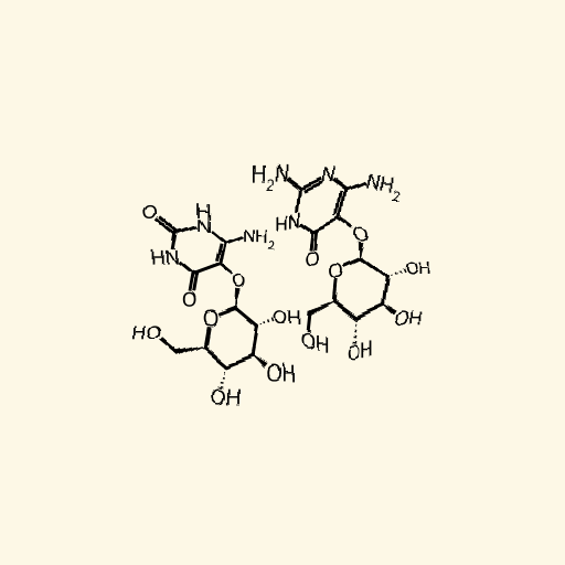 Nc1[nH]c(=O)[nH]c(=O)c1O[C@@H]1O[C@H](CO)[C@@H](O)[C@H](O)[C@H]1O.Nc1nc(N)c(O[C@@H]2O[C@H](CO)[C@@H](O)[C@H](O)[C@H]2O)c(=O)[nH]1